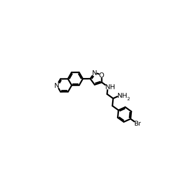 NC(CNc1cc(-c2ccc3cnccc3c2)no1)Cc1ccc(Br)cc1